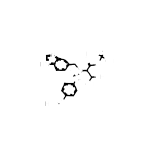 COc1ccc(S(=O)(=O)N(Cc2ccc3[nH]cnc3c2)C(C(=O)OC(C)(C)C)C(C)C)cc1